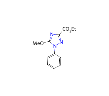 CCOC(=O)c1nc(OC)n(-c2ccccc2)n1